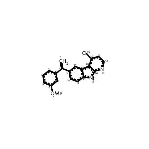 C=C(c1cccc(OC)c1)c1ccc2[nH]c3nccc(Cl)c3c2c1